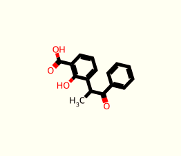 CC(C(=O)c1ccccc1)c1cccc(C(=O)O)c1O